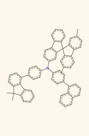 Cc1ccc2c(c1)C1(c3ccccc3-c3ccc(N(c4ccc(-c5cccc6c5-c5ccccc5C6(C)C)cc4)c4ccc(-c5cccc6ccccc56)cc4)cc31)c1cc(C)ccc1-2